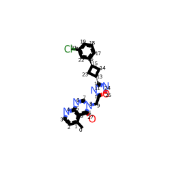 Cc1ccnc2ncn(Cc3nc([C@H]4C[C@H](c5cccc(Cl)c5)C4)no3)c(=O)c12